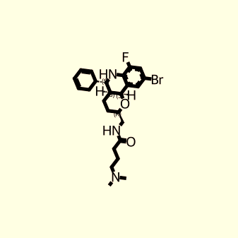 CN(C)CCCC(=O)NC[C@H]1CC[C@@H]2[C@H](O1)c1cc(Br)cc(F)c1N[C@H]2C1C=CC=CC1